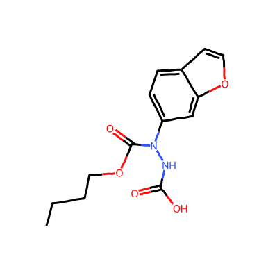 CCCCOC(=O)N(NC(=O)O)c1ccc2ccoc2c1